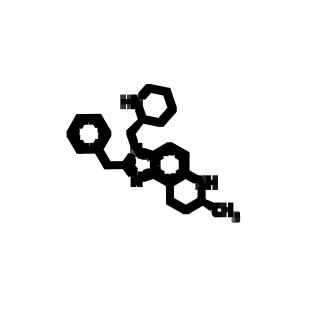 C[C@H]1CCc2c(ccc3c2nc(Cc2ccccc2)n3C[C@@H]2CCCCN2)N1